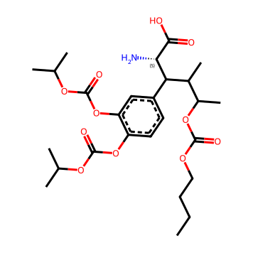 CCCCOC(=O)OC(C)C(C)C(c1ccc(OC(=O)OC(C)C)c(OC(=O)OC(C)C)c1)[C@H](N)C(=O)O